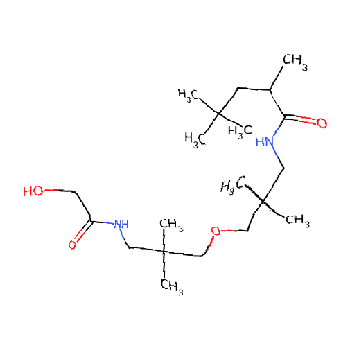 CC(CC(C)(C)C)C(=O)NCC(C)(C)COCC(C)(C)CNC(=O)CO